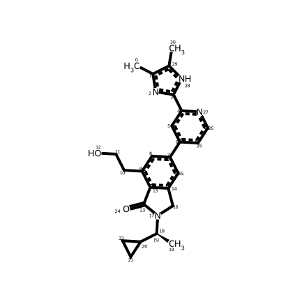 Cc1nc(-c2cc(-c3cc(CCO)c4c(c3)CN([C@@H](C)C3CC3)C4=O)ccn2)[nH]c1C